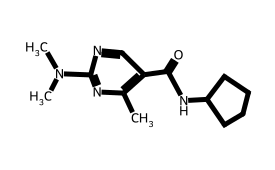 Cc1nc(N(C)C)ncc1C(=O)NC1CCCC1